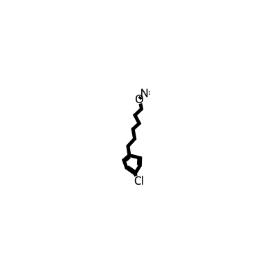 [N]OCCCCCCc1ccc(Cl)cc1